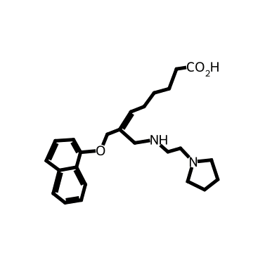 O=C(O)CCCCC=C(CNCCN1CCCC1)COc1cccc2ccccc12